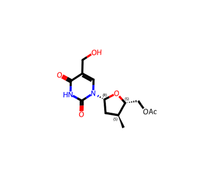 CC(=O)OC[C@H]1O[C@@H](n2cc(CO)c(=O)[nH]c2=O)C[C@@H]1C